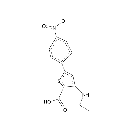 CCNc1cc(-c2ccc([N+](=O)[O-])cc2)sc1C(=O)O